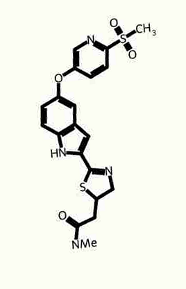 CNC(=O)CC1CN=C(c2cc3cc(Oc4ccc(S(C)(=O)=O)nc4)ccc3[nH]2)S1